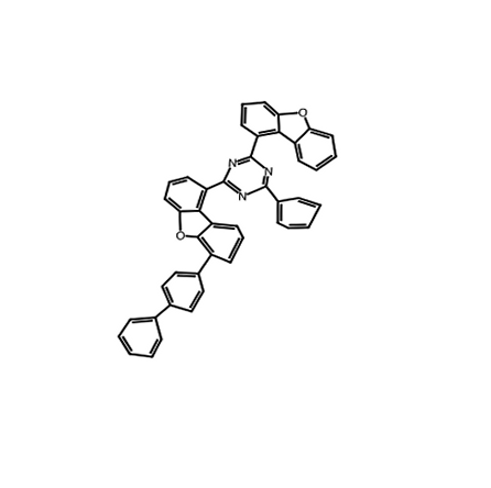 c1ccc(-c2ccc(-c3cccc4c3oc3cccc(-c5nc(-c6ccccc6)nc(-c6cccc7oc8ccccc8c67)n5)c34)cc2)cc1